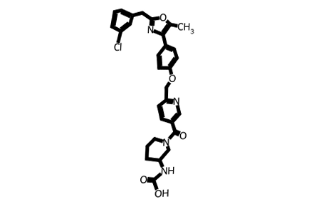 Cc1oc(Cc2cccc(Cl)c2)nc1-c1ccc(OCc2ccc(C(=O)N3CCCC(NC(=O)O)C3)cn2)cc1